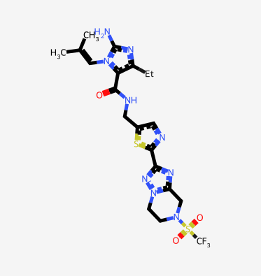 CCc1nc(N)n(C=C(C)C)c1C(=O)NCc1cnc(-c2nc3n(n2)CCN(S(=O)(=O)C(F)(F)F)C3)s1